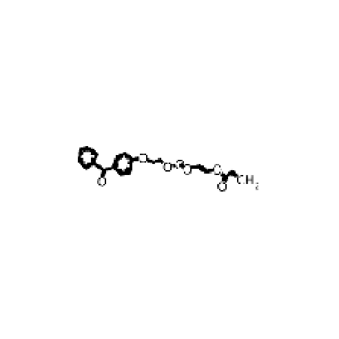 C=CC(=O)O/C=C/OOOCCOc1ccc(C(=O)c2ccccc2)cc1